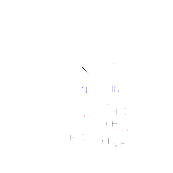 COC(CC(C)(C)CNC(=O)[C@H](CCSC(c1ccccc1)(c1ccccc1)c1ccccc1)NC(=O)OC(C)(C)C)OC